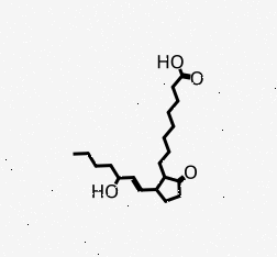 CCCCC(O)C=CC1CCC(=O)C1CCCCCCCC(=O)O